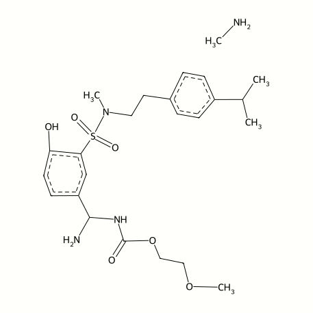 CN.COCCOC(=O)NC(N)c1ccc(O)c(S(=O)(=O)N(C)CCc2ccc(C(C)C)cc2)c1